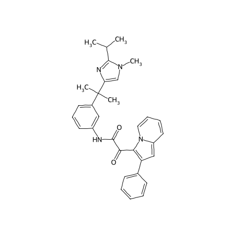 CC(C)c1nc(C(C)(C)c2cccc(NC(=O)C(=O)c3c(-c4ccccc4)cc4ccccn34)c2)cn1C